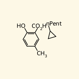 CCCCCC1CC1.Cc1ccc(O)c(C(=O)O)c1